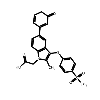 Cc1c(Sc2ccc(S(C)(=O)=O)cc2)c2cc(C3=CC(=S)CC=C3)ccc2n1CC(=O)O